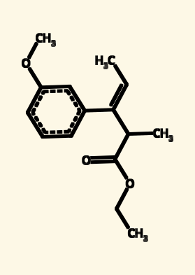 C/C=C(\c1cccc(OC)c1)C(C)C(=O)OCC